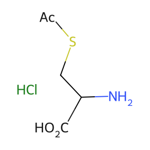 CC(=O)SCC(N)C(=O)O.Cl